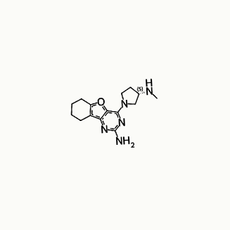 CN[C@H]1CCN(c2nc(N)nc3c4c(oc23)CCCC4)C1